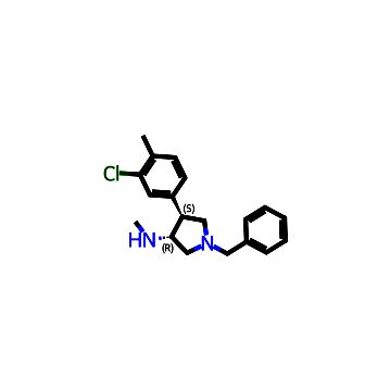 CN[C@H]1CN(Cc2ccccc2)C[C@@H]1c1ccc(C)c(Cl)c1